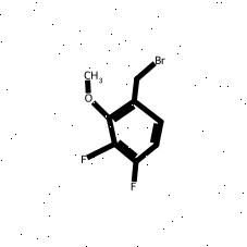 COc1c(CBr)ccc(F)c1F